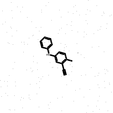 C#Cc1cc(Nc2ccccc2)ccc1C